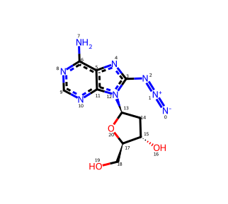 [N-]=[N+]=Nc1nc2c(N)ncnc2n1[C@H]1C[C@H](O)[C@@H](CO)O1